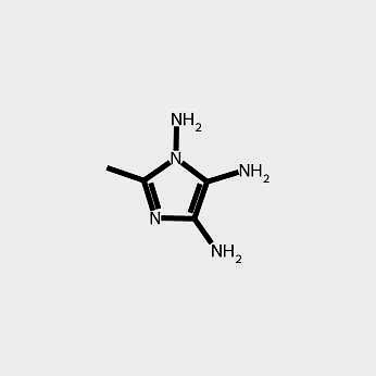 Cc1nc(N)c(N)n1N